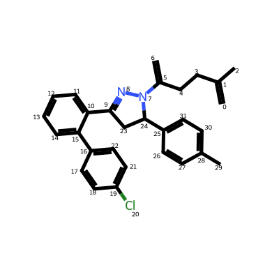 C=C(C)CCC(=C)N1N=C(c2ccccc2-c2ccc(Cl)cc2)CC1c1ccc(C)cc1